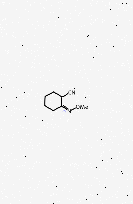 CO/N=C1/CCCCC1C#N